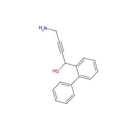 NCC#CC(O)c1ccccc1-c1ccccc1